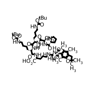 Cc1c(C)c(S(=O)(=O)NC(=N)NCCC[C@H](NC(=O)[C@H](CCCCNC(=O)OC(C)(C)C)NC(=O)[C@H](CCCCNC(=O)OC(C)(C)C)NC(=O)[C@H](C)NC(=O)[C@H]2CCCN2)C(=O)O)c(C)c2c1CC(C)(C)O2